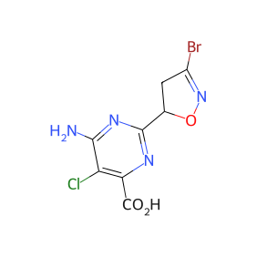 Nc1nc(C2CC(Br)=NO2)nc(C(=O)O)c1Cl